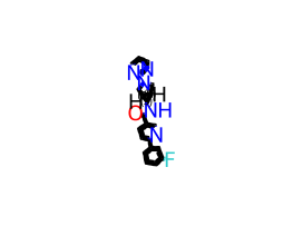 O=C(N[C@H]1[C@@H]2CN(c3ncccn3)C[C@@H]21)c1ccc(-c2cccc(F)c2)nc1